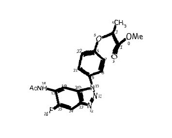 COC(=O)C(C)Oc1ccc(-n2nnc3cc(F)c(NC(C)=O)cc32)cc1